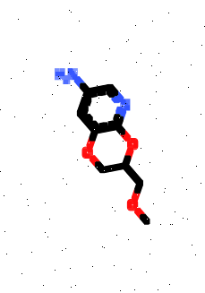 COCC1COc2cc(N)cnc2O1